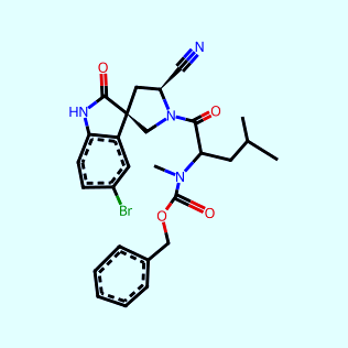 CC(C)CC(C(=O)N1C[C@]2(C[C@H]1C#N)C(=O)Nc1ccc(Br)cc12)N(C)C(=O)OCc1ccccc1